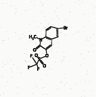 Cn1c(=O)c(OS(=O)(=O)C(F)(F)F)cc2cc(Br)ccc21